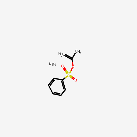 C=C(C)OS(=O)(=O)c1ccccc1.[NaH]